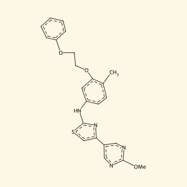 COc1ncc(-c2csc(Nc3ccc(C)c(OCCOc4ccccc4)c3)n2)cn1